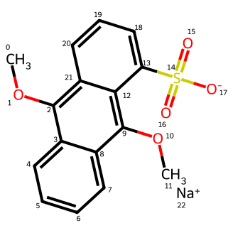 COc1c2ccccc2c(OC)c2c(S(=O)(=O)[O-])cccc12.[Na+]